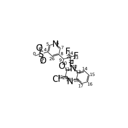 CS(=O)(=O)c1cncc(C(Oc2nc3ccccc3nc2Cl)C(F)(F)F)c1